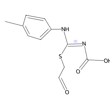 Cc1ccc(N/C(=N/C(=O)O)SCC=O)cc1